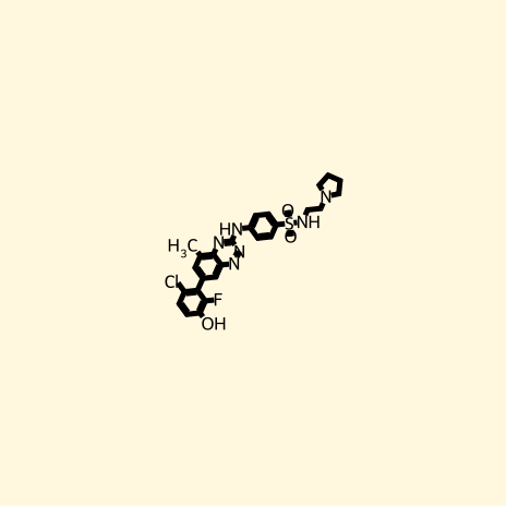 Cc1cc(-c2c(Cl)ccc(O)c2F)cc2nnc(Nc3ccc(S(=O)(=O)NCCN4CCCC4)cc3)nc12